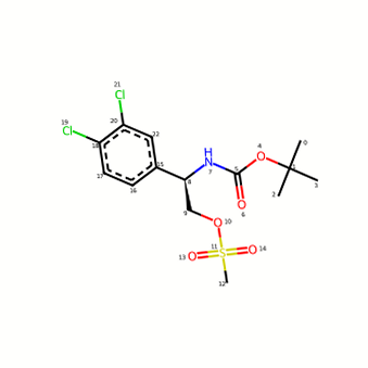 CC(C)(C)OC(=O)N[C@@H](COS(C)(=O)=O)c1ccc(Cl)c(Cl)c1